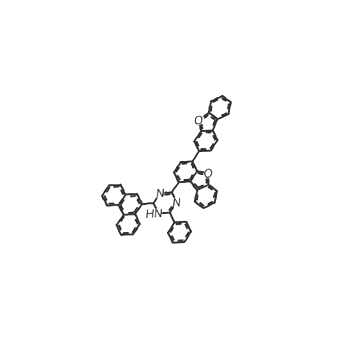 c1ccc(C2=NC(c3ccc(-c4ccc5c(c4)oc4ccccc45)c4oc5ccccc5c34)=NC(c3cc4ccccc4c4ccccc34)N2)cc1